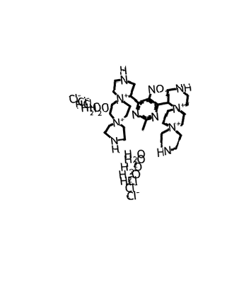 Cc1nc(C2CNCC[N+]23CC[N+]2(CCNCC2)CC3)c([N+](=O)[O-])c(C2CNCC[N+]23CC[N+]2(CCNCC2)CC3)n1.Cl.Cl.O.O.O.O.O.O.[Cl-].[Cl-].[Cl-].[Cl-]